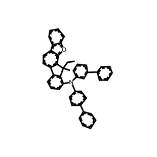 CCC1(C)c2c(cccc2N(c2ccc(-c3ccccc3)cc2)c2cccc(-c3ccccc3)c2)-c2ccc3c(oc4ccccc43)c21